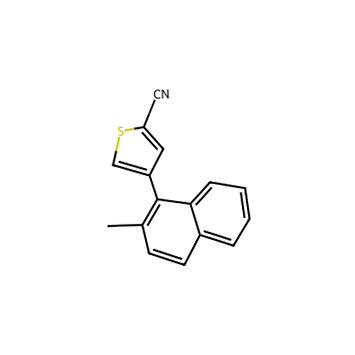 Cc1ccc2ccccc2c1-c1csc(C#N)c1